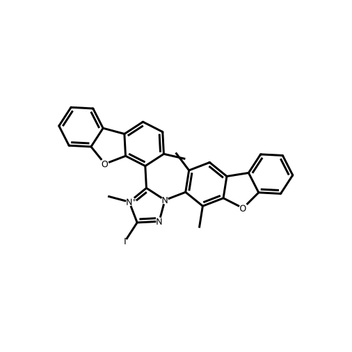 Cc1cc2c(oc3ccccc32)c(C)c1-n1nc(I)[n+](C)c1-c1c(C)ccc2c1oc1ccccc12